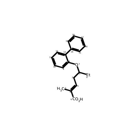 CCC(CC=C(C)C(=O)O)Oc1ccccc1-c1ccccc1